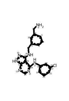 NCc1cccc(CNc2n[nH]c3ncnc(Nc4cccc(Cl)c4)c23)c1